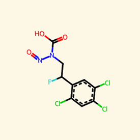 O=NN(CC(F)c1cc(Cl)c(Cl)cc1Cl)C(=O)O